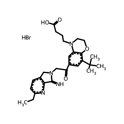 Br.CCc1ccc2c(n1)C(=N)N(CC(=O)c1cc3c(c(C(C)(C)C)c1)OCCN3CCCC(=O)O)C2